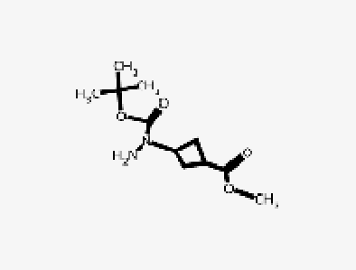 COC(=O)C1CC(N(N)C(=O)OC(C)(C)C)C1